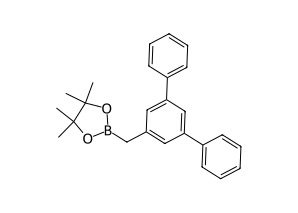 CC1(C)OB(Cc2cc(-c3ccccc3)cc(-c3ccccc3)c2)OC1(C)C